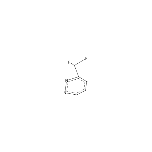 FC(F)c1[c]ccnn1